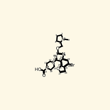 CN1CCCC1COc1nc(N2CCN(C(=O)O)CC2)c2c(cc(Br)c3ccoc32)n1